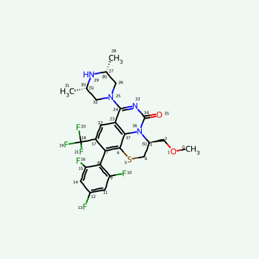 COC[C@H]1CSc2c(-c3c(F)cc(F)cc3F)c(C(F)(F)F)cc3c(N4C[C@@H](C)N[C@@H](C)C4)nc(=O)n1c23